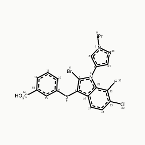 CC(C)n1cc(-n2c(Br)c(Sc3cccc(C(=O)O)c3)c3ccc(Cl)c(F)c32)cn1